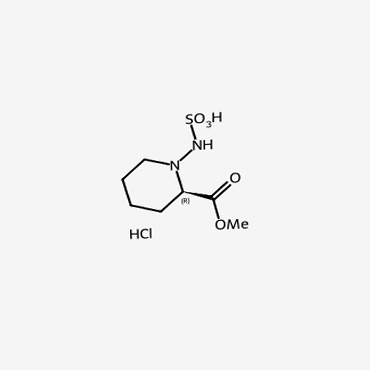 COC(=O)[C@H]1CCCCN1NS(=O)(=O)O.Cl